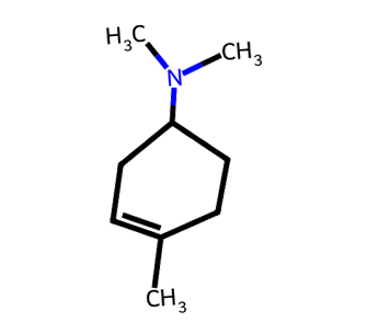 CC1=CCC(N(C)C)CC1